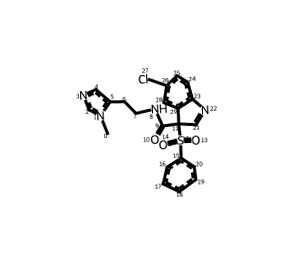 Cn1cncc1CCNC(=O)C1(S(=O)(=O)c2ccccc2)C=Nc2ccc(Cl)cc21